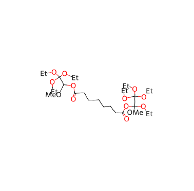 CCOC(OCC)(OCC)C(OC)OC(=O)CCCCCCC(=O)OC(OC)(OCC)C(OCC)(OCC)OCC